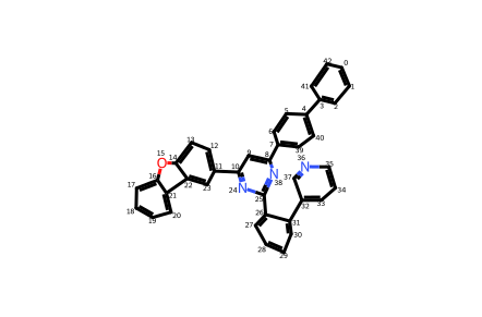 c1ccc(-c2ccc(-c3cc(-c4ccc5oc6ccccc6c5c4)nc(-c4ccccc4-c4cccnc4)n3)cc2)cc1